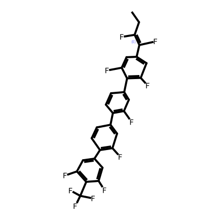 CC/C(F)=C(\F)c1cc(F)c(-c2ccc(-c3ccc(-c4cc(F)c(C(F)(F)F)c(F)c4)c(F)c3)c(F)c2)c(F)c1